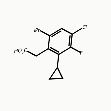 CC(C)c1cc(Cl)c(F)c(C2CC2)c1CC(=O)O